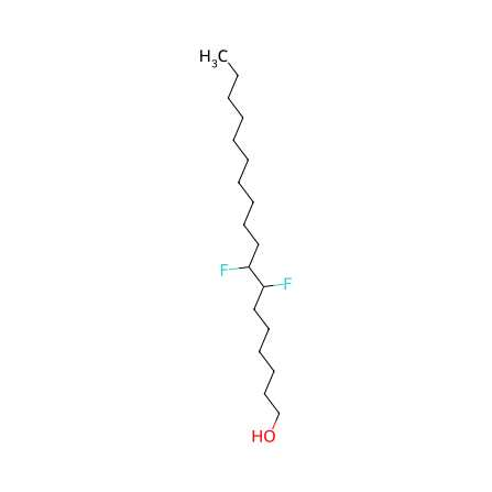 CCCCCCCCCCC(F)C(F)CCCCCCO